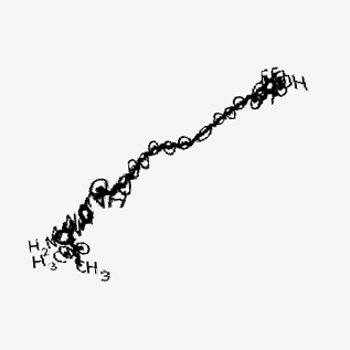 CCCN(OCC)C(=O)C1=Cc2c(cnn2Cc2ccc(CNC(=O)CCOCCOCCOCCOCCOCCOCCOCCOCCOCCOCCC(=O)Oc3c(F)c(F)c(S(=O)(=O)O)c(F)c3F)cc2)N=C(N)C1